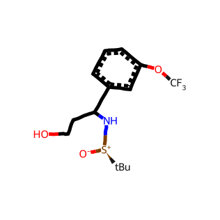 CC(C)(C)[S@@+]([O-])NC(CCO)c1cccc(OC(F)(F)F)c1